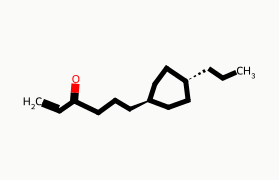 C=CC(=O)CCC[C@H]1CC[C@H](CCC)CC1